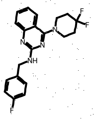 Fc1ccc(CNc2nc(N3CCC(F)(F)CC3)c3ccccc3n2)cc1